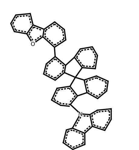 c1ccc2c(c1)-c1c(-c3cccc4c3oc3ccccc34)cccc1C21c2ccccc2-c2c(-n3c4ccccc4c4ccccc43)cccc21